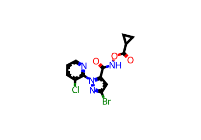 O=C(NOC(=O)C1CC1)c1cc(Br)nn1-c1ncccc1Cl